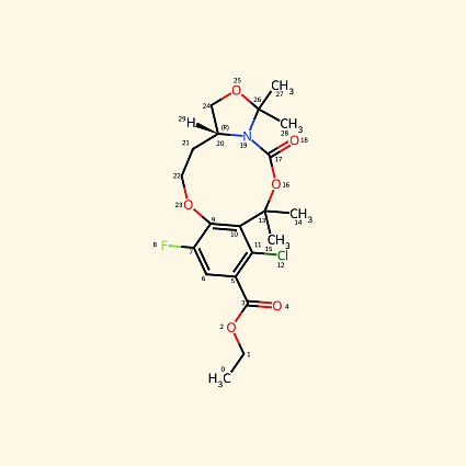 CCOC(=O)c1cc(F)c2c(c1Cl)C(C)(C)OC(=O)N1[C@H](CCO2)COC1(C)C